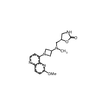 COc1ccc2nccc(N3CC(N(C)CC4CNC(=O)O4)C3)c2n1